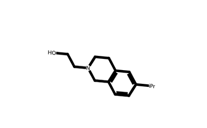 CC(C)c1ccc2c(c1)CCN(CCO)C2